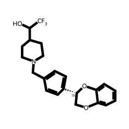 OC(C1CCN(Cc2ccc([C@H]3COc4ccccc4O3)cc2)CC1)C(F)(F)F